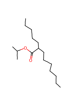 CCCCCCCC(CCCCC)C(=O)OC(C)C